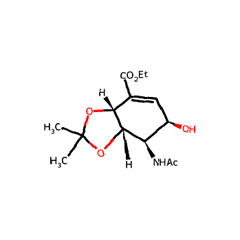 CCOC(=O)C1=C[C@@H](O)[C@@H](NC(C)=O)[C@@H]2OC(C)(C)O[C@H]12